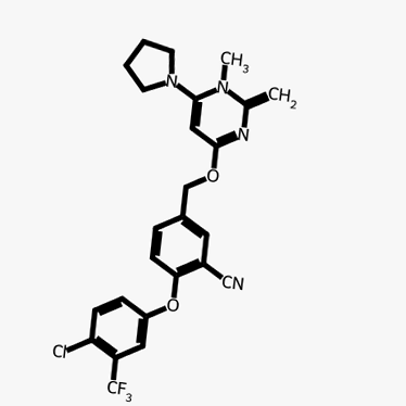 C=C1N=C(OCc2ccc(Oc3ccc(Cl)c(C(F)(F)F)c3)c(C#N)c2)C=C(N2CCCC2)N1C